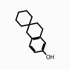 Oc1ccc2c(c1)CCC1(CCCCC1)C2